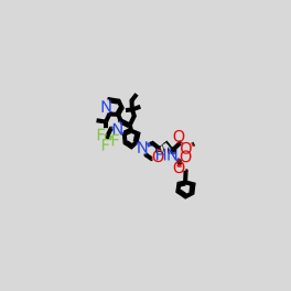 CCC(C)(C)Cc1c(-c2cccnc2C(C)C)n(CC(F)(F)F)c2ccc(N3CCO[C@@H](C[C@H](NC(=O)OCc4ccccc4)C(=O)OC)C3)cc12